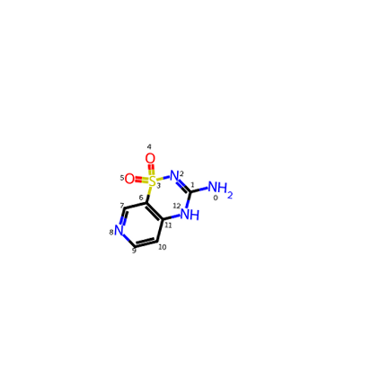 NC1=NS(=O)(=O)c2cnccc2N1